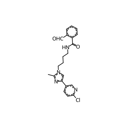 Cc1nc(-c2ccc(Cl)nc2)cn1CCCCNC(=O)c1ccccc1C=O